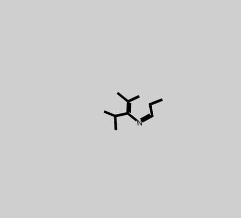 CC/C=N\C(=C(C)C)C(C)C